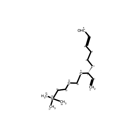 C=C[C@@H](CCC/C=C/C=O)OCOCC[Si](C)(C)C